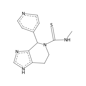 CNC(=S)N1CCc2[nH]cnc2C1c1ccncc1